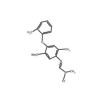 CCN(C)/C=N/c1cc(OC)c(Oc2ccccc2C)cc1C